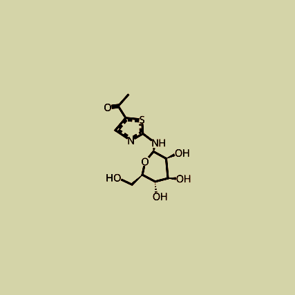 CC(=O)c1cnc(N[C@H]2O[C@H](CO)[C@@H](O)[C@H](O)[C@@H]2O)s1